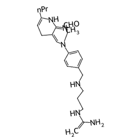 C=C(N)NCCCNCc1ccc(N(/C=C2/CC=C(CCC)N/C2=N/C)CC=O)cc1